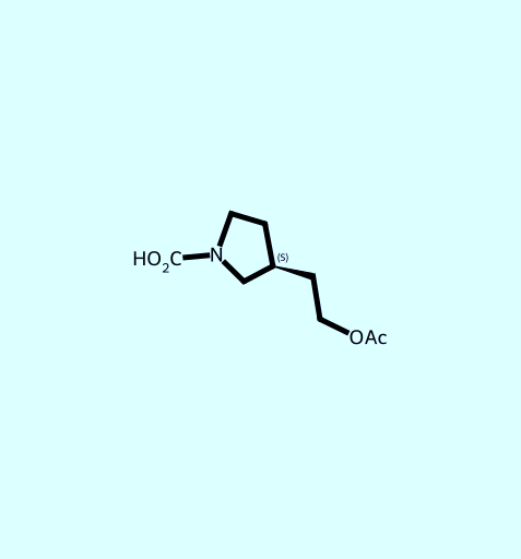 CC(=O)OCC[C@@H]1CCN(C(=O)O)C1